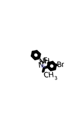 CC/C(=N/Nc1ccccc1)c1ccc(Br)cc1F